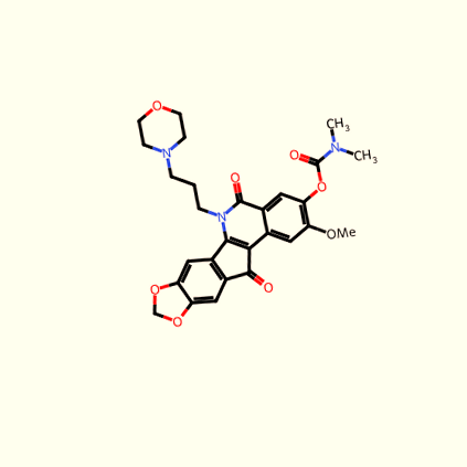 COc1cc2c3c(n(CCCN4CCOCC4)c(=O)c2cc1OC(=O)N(C)C)-c1cc2c(cc1C3=O)OCO2